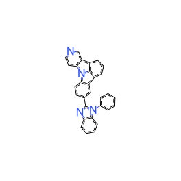 c1ccc(-n2c(-c3ccc4c(c3)c3cccc5c6cnccc6n4c53)nc3ccccc32)cc1